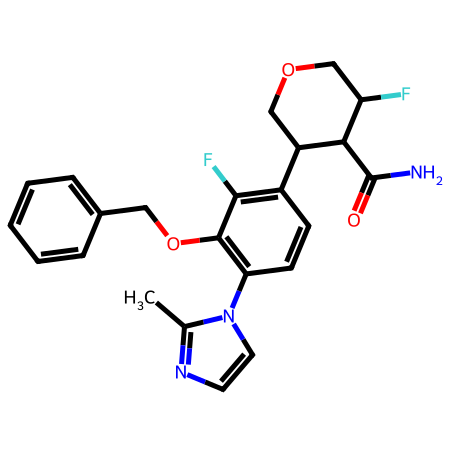 Cc1nccn1-c1ccc(C2COCC(F)C2C(N)=O)c(F)c1OCc1ccccc1